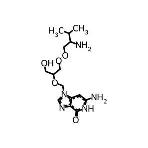 CC(C)C(N)COOCC(CO)OCn1cnc2c(=O)[nH]c(N)cc21